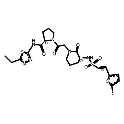 CCc1nnc(NC(=O)[C@H]2CCCN2C(=O)CN2CCC[C@H](NS(=O)(=O)/C=C/c3ccc(Cl)s3)C2=O)s1